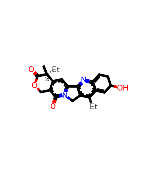 CCc1c2c(nc3c1=CC(O)CC=3)-c1cc3c(c(=O)n1C2)COC(=O)[C@]3(C)CC